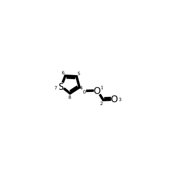 COC=O.c1ccsc1